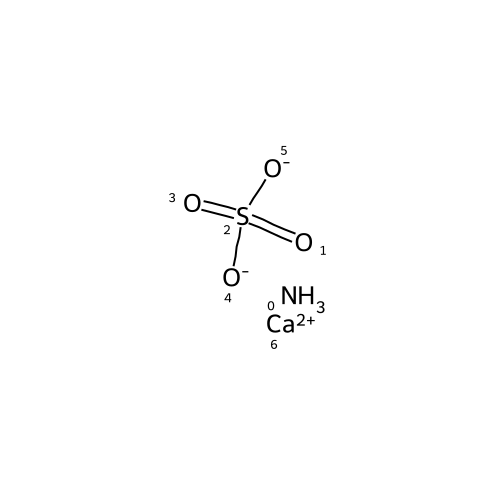 N.O=S(=O)([O-])[O-].[Ca+2]